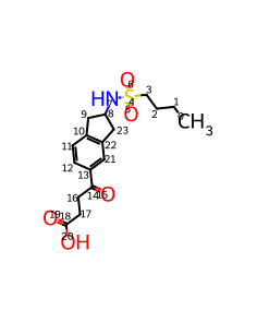 CCCCS(=O)(=O)NC1Cc2ccc(C(=O)CCC(=O)O)cc2C1